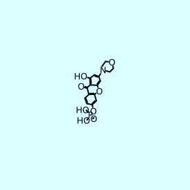 O=c1c2ccc(OP(=O)(O)O)cc2oc2cc(N3CCOCC3)cc(O)c12